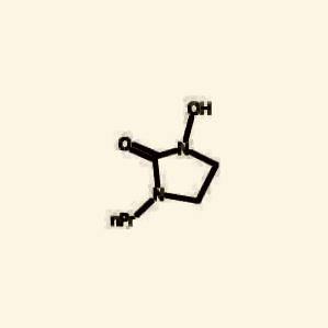 CCCN1CCN(O)C1=O